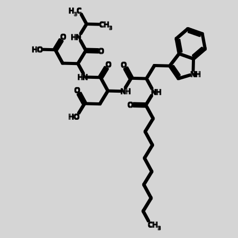 CCCCCCCCCC(=O)NC(Cc1c[nH]c2ccccc12)C(=O)NC(CC(=O)O)C(=O)NC(CC(=O)O)C(=O)NC(C)C